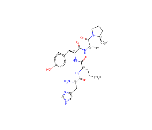 CC(C)[C@H](NC(=O)[C@H](Cc1ccc(O)cc1)NC(=O)[C@H](CCC(=O)O)NC(=O)[C@@H](N)Cc1c[nH]cn1)C(=O)N1CCC[C@H]1C(=O)O